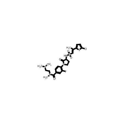 C/C(=C\S(=O)(=O)NC1CCN(c2ccc(C(=O)N(C)CCN(C)C)cc2F)C1=O)c1ccc(Cl)s1